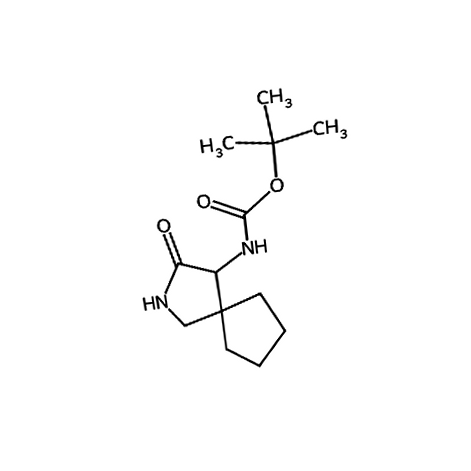 CC(C)(C)OC(=O)NC1C(=O)NCC12CCCC2